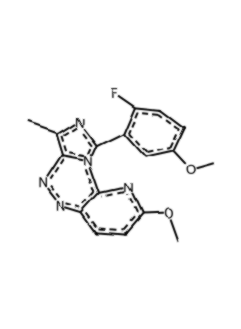 COc1ccc(F)c(-c2nc(C)c3nnc4ccc(OC)nc4n23)c1